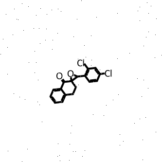 O=C1c2ccccc2CCC12OC2c1ccc(Cl)cc1Cl